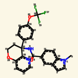 Cn1ccc2cc(C(=O)N[C@]3(c4ccc(OC(F)(F)F)cc4)CCOc4cccnc43)ccc21